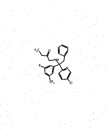 O=C(CNC(Cc1ccccc1)(c1cc(F)cc(C(F)(F)F)c1)c1ccc(Cl)cn1)CC(F)(F)F